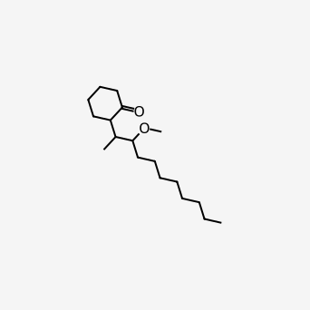 CCCCCCCCC(OC)C(C)C1CCCCC1=O